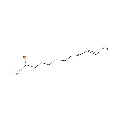 CC=CCCCCCCCC(C)Br